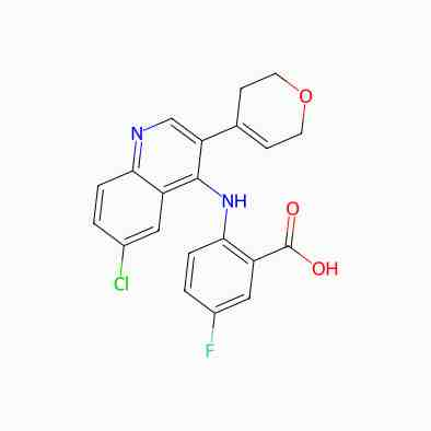 O=C(O)c1cc(F)ccc1Nc1c(C2=CCOCC2)cnc2ccc(Cl)cc12